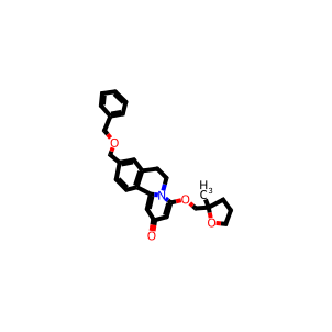 CC1(COc2cc(=O)cc3n2CCc2cc(COCc4ccccc4)ccc2-3)CCCO1